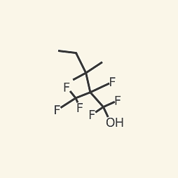 CCC(C)(C)C(F)(C(O)(F)F)C(F)(F)F